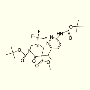 COC(=O)C1(C(C)c2ccc(NC(=O)OC(C)(C)C)nn2)C[C@@H](C(F)(F)F)CN(C(=O)OC(C)(C)C)C1=O